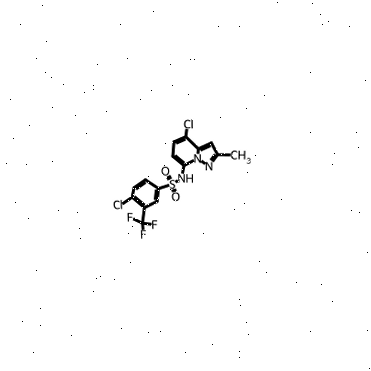 Cc1cc2c(Cl)ccc(NS(=O)(=O)c3ccc(Cl)c(C(F)(F)F)c3)n2n1